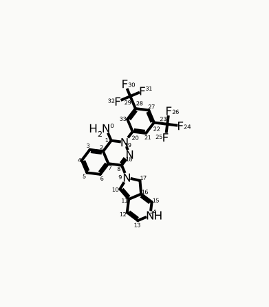 NC1c2ccccc2C(N2C=C3C=CNC=C3C2)=NN1c1cc(C(F)(F)F)cc(C(F)(F)F)c1